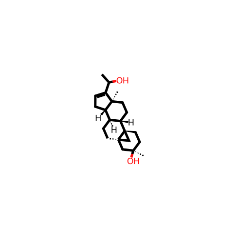 CC(O)C1=CC[C@H]2[C@@H]3CC[C@]45C[C@](C)(O)CC[C@]4(C5)[C@H]3CC[C@]12C